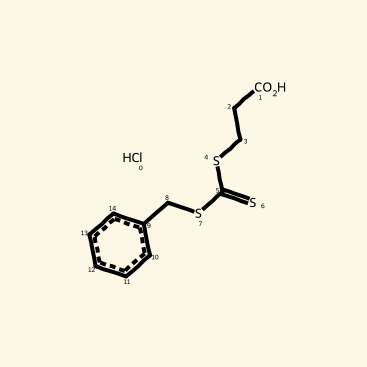 Cl.O=C(O)CCSC(=S)SCc1ccccc1